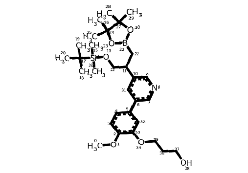 COc1ccc(-c2cncc(C(CO[Si](C)(C)C(C)(C)C)CB3OC(C)(C)C(C)(C)O3)c2)cc1OCCCO